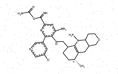 C[C@@H]1CCC(CNc2c(N)nc(C(=N)OC(N)=O)nc2-c2cncc(Cl)c2)C2=C1CC1COCCC1N2P